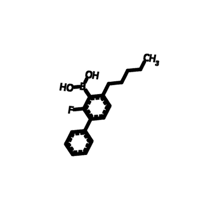 CCCCCc1ccc(-c2ccccc2)c(F)c1B(O)O